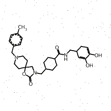 Cc1ccc(CN2CCC3(CC2)CN(CC2CCC(C(=O)NCC4C=C(O)C(O)=CC4)CC2)C(=O)O3)cc1